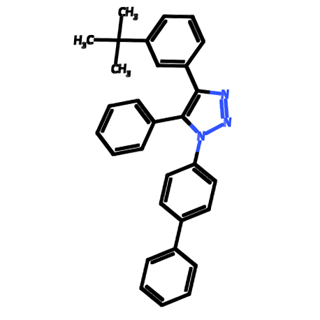 CC(C)(C)c1cccc(-c2nnn(-c3ccc(-c4ccccc4)cc3)c2-c2ccccc2)c1